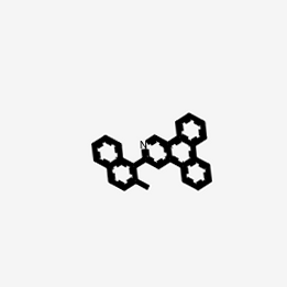 Cc1ccc2ccccc2c1-c1cc2c3ccccc3c3ccccc3c2cn1